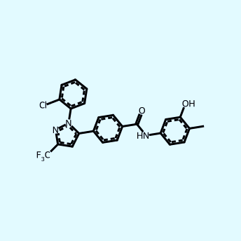 Cc1ccc(NC(=O)c2ccc(-c3cc(C(F)(F)F)nn3-c3ccccc3Cl)cc2)cc1O